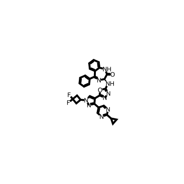 O=C1Nc2ccccc2C(c2ccccc2)=N[C@@H]1Nc1nnc(-c2cn(C3CC(F)(F)C3)nc2-c2cnc(C3CC3)nc2)o1